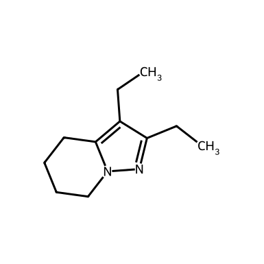 CCc1nn2c(c1CC)CCCC2